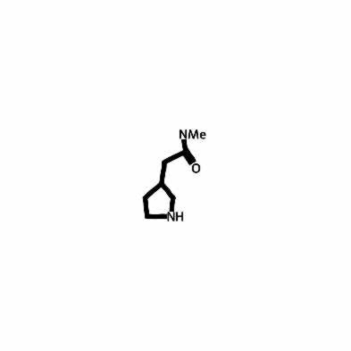 CNC(=O)CC1CCNC1